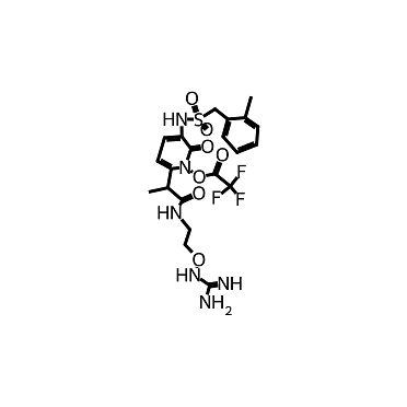 Cc1ccccc1CS(=O)(=O)Nc1ccc(C(C)C(=O)NCCONC(=N)N)n(OC(=O)C(F)(F)F)c1=O